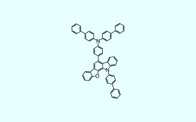 c1ccc(-c2ccc(N(c3ccc(-c4ccccc4)cc3)c3ccc(-c4cc5c6ccccc6oc5c5c4c4ccccc4n5-c4ccc(-c5ccccc5)cc4)cc3)cc2)cc1